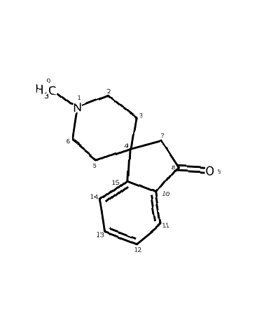 CN1CCC2(CC1)CC(=O)c1ccccc12